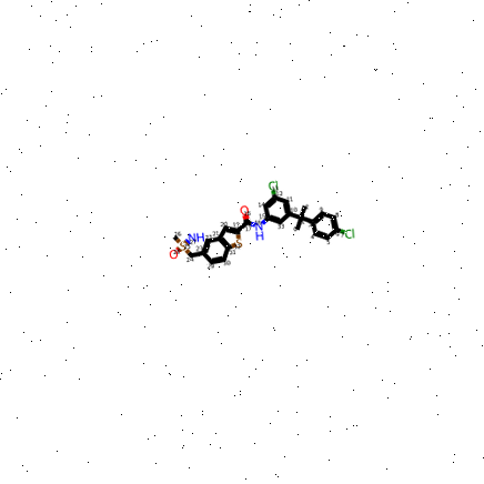 CC(C)(c1ccc(Cl)cc1)c1cc(Cl)cc(NC(=O)c2cc3cc(CS(C)(=N)=O)ccc3s2)c1